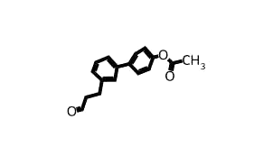 CC(=O)Oc1ccc(-c2cccc(CCC=O)c2)cc1